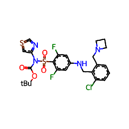 CC(C)(C)OC(=O)N(c1cscn1)S(=O)(=O)c1c(F)cc(NCc2c(Cl)cccc2CN2CCC2)cc1F